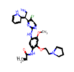 C=CC(=O)Nc1cc(Nc2ncc(Cl)c(/C(C=N)=C3\C=CC=CN3)n2)c(OC)cc1OCCN1CCCC1